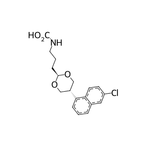 O=C(O)NCCC[C@H]1OC[C@H](c2cccc3cc(Cl)ccc32)CO1